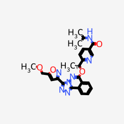 COCc1cc(-c2nnc3c4ccccc4c(O[C@H](C)c4ccc(C(=O)NC(C)C)cn4)nn23)no1